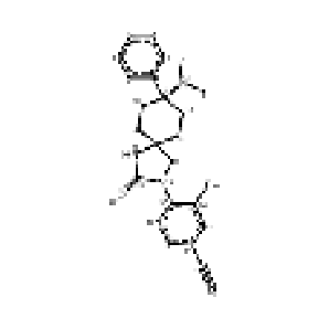 CN(C)[C@]1(c2ccccc2)CC[C@@]2(CC1)CN(c1ncc(C#N)cc1F)C(=O)N2